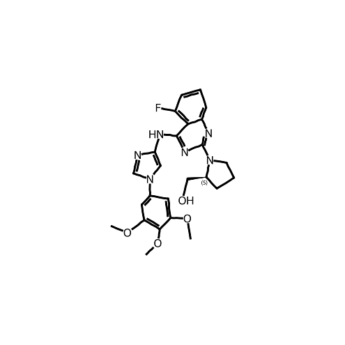 COc1cc(-n2cnc(Nc3nc(N4CCC[C@H]4CO)nc4cccc(F)c34)c2)cc(OC)c1OC